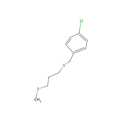 CSCCCSCc1ccc(Cl)cc1